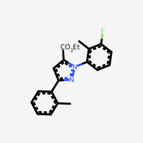 CCOC(=O)c1cc(-c2ccccc2C)nn1-c1cccc(F)c1C